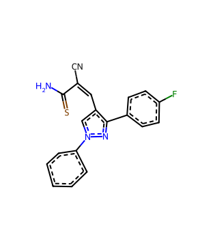 N#C/C(=C/c1cn(-c2ccccc2)nc1-c1ccc(F)cc1)C(N)=S